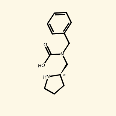 O=C(O)N(Cc1ccccc1)C[C@H]1CCCN1